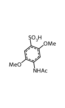 COc1cc(S(=O)(=O)O)c(OC)cc1NC(C)=O